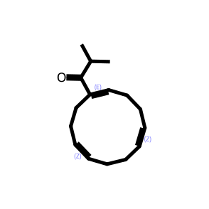 CC(C)C(=O)/C1=C/CC/C=C\CC/C=C\CC1